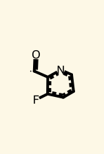 O=[C]c1ncccc1F